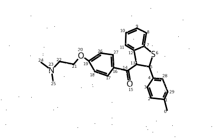 Cc1ccc(C2Sc3ccccc3C2C(=O)c2ccc(OCCN(C)C)cc2)cc1